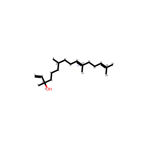 C=CC(C)(O)CCCC(C)CC/C=C(\C)CCC=C(C)C